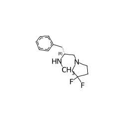 CN[C@H](Cc1ccccc1)CN1CCC(F)(F)C1